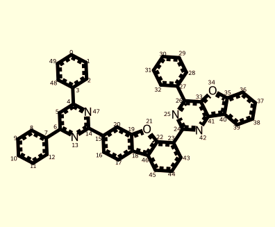 c1ccc(-c2cc(-c3ccccc3)nc(-c3ccc4c(c3)oc3c(-c5nc(-c6ccccc6)c6oc7ccccc7c6n5)cccc34)n2)cc1